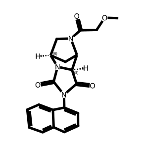 COCC(=O)N1C[C@H]2CC1[C@H]1C(=O)N(c3cccc4ccccc34)C(=O)N21